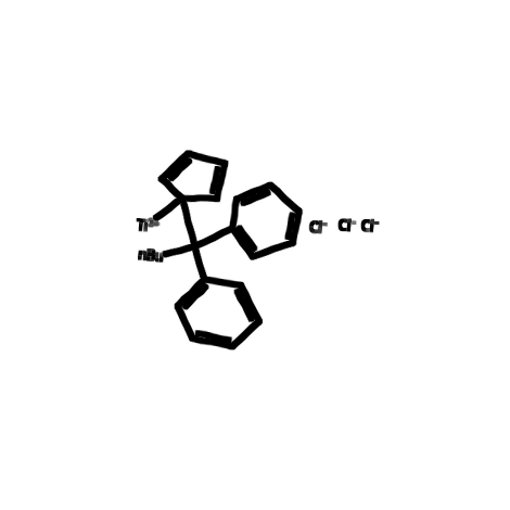 CCCCC(c1ccccc1)(c1ccccc1)[C]1([Ti+3])C=CC=C1.[Cl-].[Cl-].[Cl-]